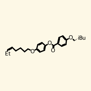 CC/C=C\CCCCOc1ccc(OC(=O)c2ccc(OC[C@@H](C)CC)cc2)cc1